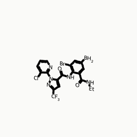 Bc1cc(Br)c(NC(=O)c2cc(C(F)(F)F)nn2-c2ncccc2Cl)c(C(=O)NCC)c1